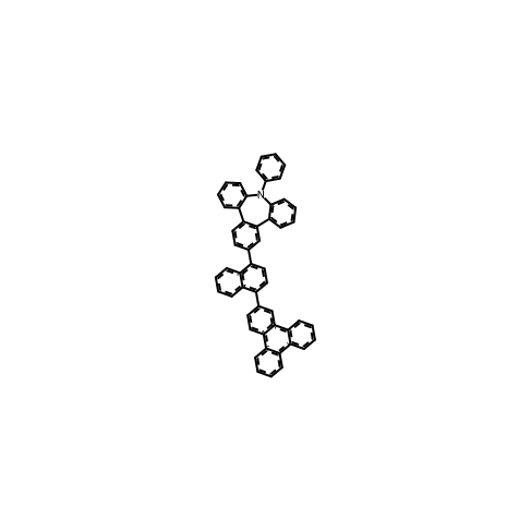 c1ccc(N2c3ccccc3-c3ccc(-c4ccc(-c5ccc6c7ccccc7c7ccccc7c6c5)c5ccccc45)cc3-c3ccccc32)cc1